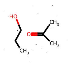 CC(C)=O.CCCO